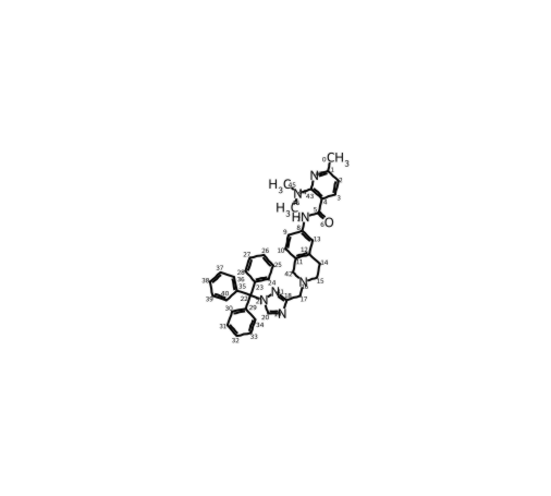 Cc1ccc(C(=O)Nc2ccc3c(c2)CCN(Cc2ncn(C(c4ccccc4)(c4ccccc4)c4ccccc4)n2)C3)c(N(C)C)n1